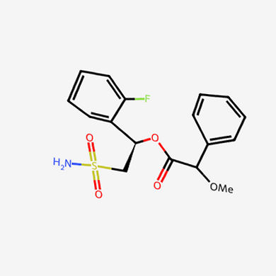 COC(C(=O)O[C@@H](CS(N)(=O)=O)c1ccccc1F)c1ccccc1